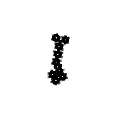 c1ccc(N(c2ccccc2)c2ccc(-c3ccc(-c4ccc5c(c4)Oc4ccc6c(c4O5)-c4ccccc4C64c5ccccc5-c5ccccc54)cc3)cc2)cc1